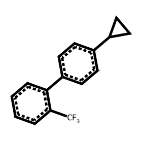 FC(F)(F)c1ccccc1-c1c[c]c(C2CC2)cc1